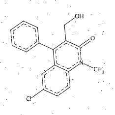 Cn1c(=O)c(CO)c(-c2ccccc2)c2cc(Cl)ccc21